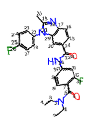 CCN(CC)C(=O)c1ccc(NC(=O)c2ccc3nc(C)n(-c4ccc(F)cc4)c3c2)cc1F